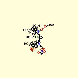 COCCOCCOCC[N+]1=C(/C=C/C2=C(Cl)C(=C/C=C3/N(CCCC(=O)ON4C(=O)CCC4=O)c4ccc5c(S(=O)(=O)[O-])cc(S(=O)(=O)O)cc5c4C3(C)C)/CCC2)C(C)(CCCS(=O)(=O)O)c2c1ccc1c(S(=O)(=O)O)cc(S(=O)(=O)O)cc21